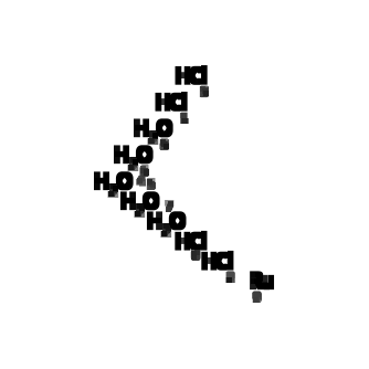 Cl.Cl.Cl.Cl.O.O.O.O.O.[Ru]